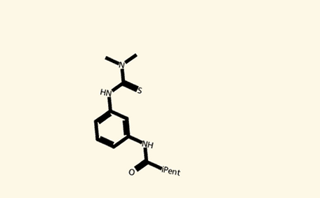 CCCC(C)C(=O)Nc1cccc(NC(=S)N(C)C)c1